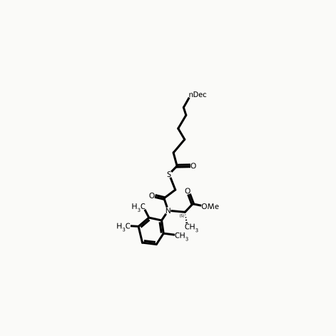 CCCCCCCCCCCCCCCC(=O)SCC(=O)N(c1c(C)ccc(C)c1C)[C@@H](C)C(=O)OC